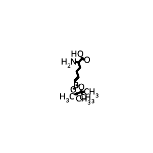 CC1(C)OB(C=CCCC(N)C(=O)O)OC1(C)C